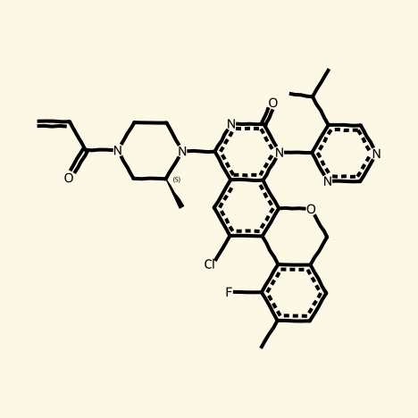 C=CC(=O)N1CCN(c2nc(=O)n(-c3ncncc3C(C)C)c3c4c(c(Cl)cc23)-c2c(ccc(C)c2F)CO4)[C@@H](C)C1